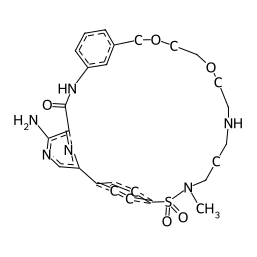 CN1CCCNCCOCCOCc2cccc(c2)NC(=O)c2nc(cnc2N)-c2ccc(cc2)S1(=O)=O